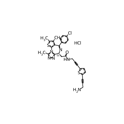 Cc1sc2c(c1C)C(c1ccc(Cl)cc1)=N[C@@H](CC(=O)NCC#Cc1ccc(C#CCN)s1)c1nnc(C)n1-2.Cl